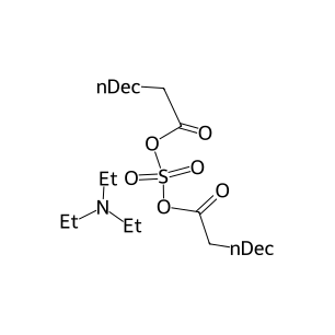 CCCCCCCCCCCC(=O)OS(=O)(=O)OC(=O)CCCCCCCCCCC.CCN(CC)CC